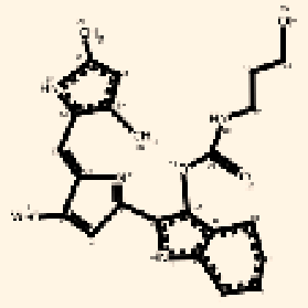 COC1=CC(c2[nH]c3ccccc3c2OC(=O)NCCCO)=NC1=Cc1[nH]c(C)cc1C